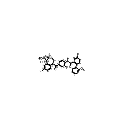 COc1ccccc1-c1ccc(F)cc1C(=O)Nc1ccc(C(=O)N2CCC(F)(F)[C@](O)(CO)c3cc(Cl)ccc32)cc1F